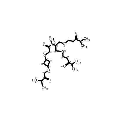 CC(C)C(=O)CCOCC(COCCC(=O)C(C)C)N(C)C(=O)COC1CC(OCC(=O)C(C)C)C1